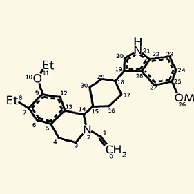 C=CN1CCc2cc(CC)c(OCC)cc2C1C1CCC(c2c[nH]c3ccc(OC)cc23)CC1